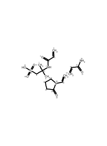 C=CC(=O)NC(C)(C)CS(=O)(=O)O.C=CC(N)=O.C=CN1CCCC1=O